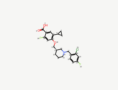 O=C(O)c1cc(C2CC2)c(OC[C@@H]2CCCN(Cc3ccc(F)cc3Cl)C2)cc1F